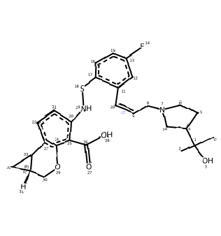 CC(C)(O)C1CCN(C/C=C\c2cc(F)ccc2SNc2ccc3c(c2C(=O)O)OC[C@@H]2CC32)C1